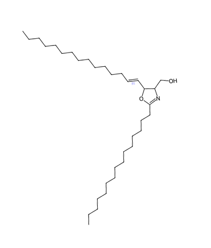 CCCCCCCCCCCCC/C=C/C1OC(CCCCCCCCCCCCCCC)=NC1CO